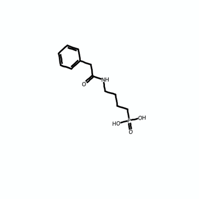 O=C(Cc1ccccc1)NCCCCP(=O)(O)O